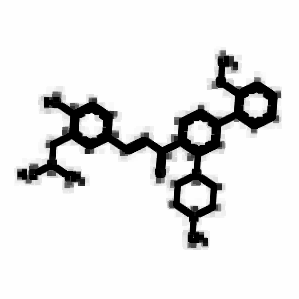 COc1ccccc1-c1ccc(C(=O)C=Cc2ccc(O)c(CN(C)C)c2)c(N2CCN(C)CC2)c1